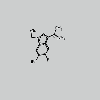 CC(C)c1cc2c(cc1F)c([C@@H](C)N)cn2CC(C)(C)C